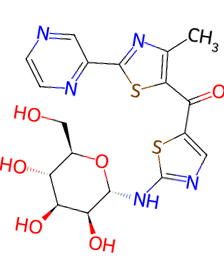 Cc1nc(-c2cnccn2)sc1C(=O)c1cnc(N[C@H]2O[C@H](CO)[C@@H](O)[C@H](O)[C@@H]2O)s1